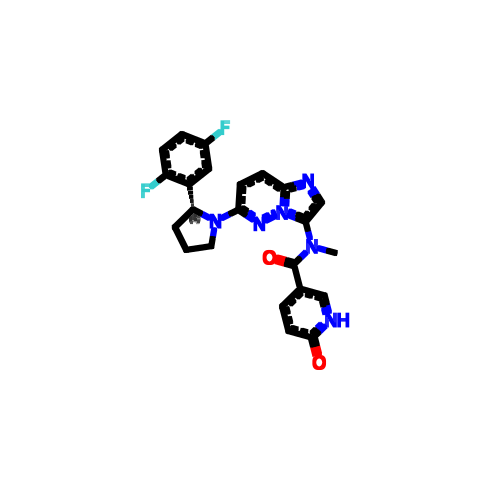 CN(C(=O)c1ccc(=O)[nH]c1)c1cnc2ccc(N3CCC[C@@H]3c3cc(F)ccc3F)nn12